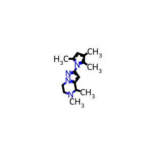 Cc1cc(C)n(-c2cc3n(n2)CCN(C)C3C)c1C